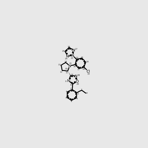 CCc1ccccc1-c1nc([C@@H]2CCCN2c2cc(Cl)ccc2-n2nccn2)no1